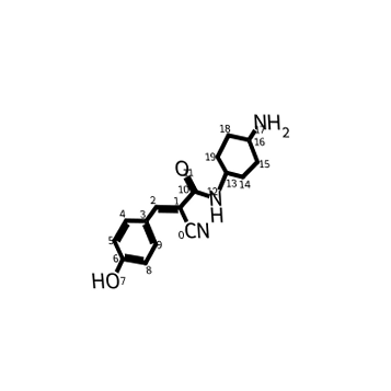 N#C/C(=C\c1ccc(O)cc1)C(=O)NC1CCC(N)CC1